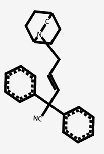 N#CC(C=CCN1CC2CCC1CC2)(c1ccccc1)c1ccccc1